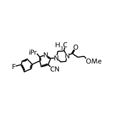 COCCC(=O)N1CCN(c2nc(C(C)C)c(-c3ccc(F)cc3)cc2C#N)CC1C